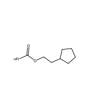 CC[CH]C(=O)OCCC1CCCC1